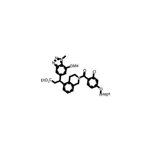 CCCCCCCOc1ccc(C(=O)N2CCc3c(cccc3C(CC(=O)OCC)c3cc(OC)c4c(c3)nnn4C)C2)c(Cl)c1